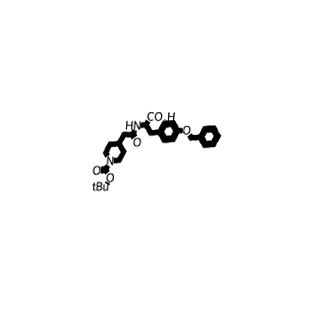 CC(C)(C)OC(=O)N1CCC(CC(=O)NC(Cc2ccc(OCc3ccccc3)cc2)C(=O)O)CC1